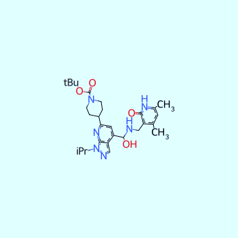 Cc1cc(C)c(CNC(O)c2cc(C3CCN(C(=O)OC(C)(C)C)CC3)nc3c2cnn3C(C)C)c(=O)[nH]1